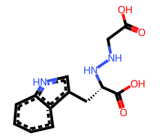 O=C(O)CNN[C@@H](Cc1c[nH]c2ccccc12)C(=O)O